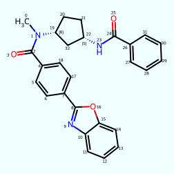 CN(C(=O)c1ccc(-c2nc3ccccc3o2)cc1)[C@@H]1CC[C@H](NC(=O)c2ccccc2)C1